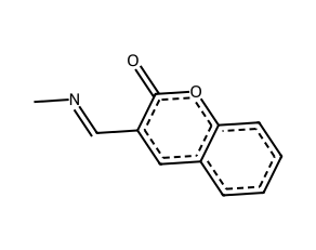 C/N=C/c1cc2ccccc2oc1=O